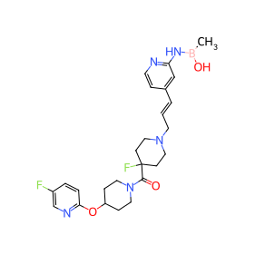 CB(O)Nc1cc(/C=C/CN2CCC(F)(C(=O)N3CCC(Oc4ccc(F)cn4)CC3)CC2)ccn1